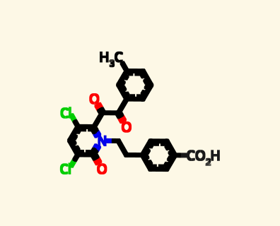 Cc1cccc(C(=O)C(=O)c2c(Cl)cc(Cl)c(=O)n2CCc2ccc(C(=O)O)cc2)c1